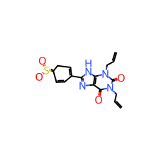 C=CCn1c(=O)c2nc(C3=CCC(=S(=O)=O)C=C3)[nH]c2n(CC=C)c1=O